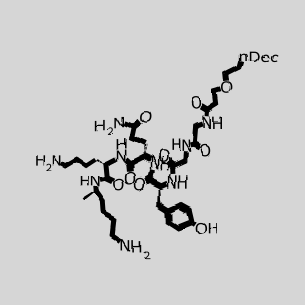 CCCCCCCCCCCCOCCC(=O)NCC(=O)NCC(=O)N[C@@H](Cc1ccc(O)cc1)C(=O)N[C@@H](CCC(N)=O)C(=O)N[C@@H](CCCCN)C(=O)N[C@H](C)CCCCN